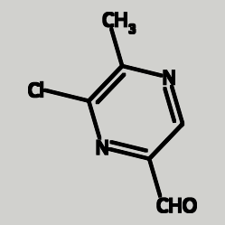 Cc1ncc(C=O)nc1Cl